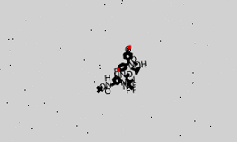 COc1ccc(C(c2ccc(F)c(NC(=O)c3c(I)c(C(F)(F)F)nn3-c3cccc(CNC(=O)OC(C)(C)C)c3)c2)N(CC2CC2)C(=O)O)cc1